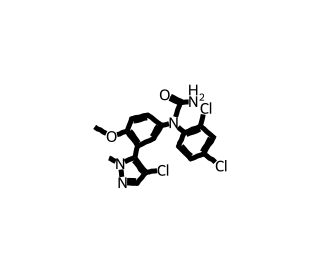 COc1ccc(N(C(N)=O)c2ccc(Cl)cc2Cl)cc1-c1c(Cl)cnn1C